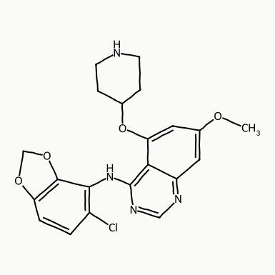 COc1cc(OC2CCNCC2)c2c(Nc3c(Cl)ccc4c3OCO4)ncnc2c1